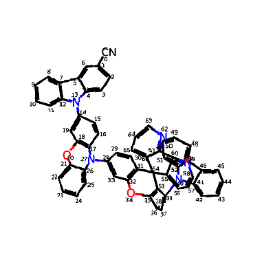 N#Cc1ccc2c(c1)c1ccccc1n2-c1ccc2c(c1)Oc1ccccc1N2c1ccc2c(c1)Oc1cccc(-n3c4ccccc4c4ccccc43)c1C21c2cccnc2-c2ncccc21